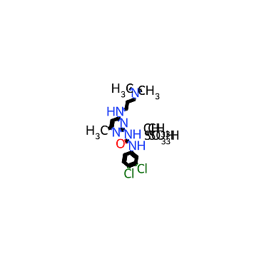 CS(=O)(=O)O.CS(=O)(=O)O.Cc1cc(NCCCN(C)C)nc(NC(=O)Nc2ccc(Cl)c(Cl)c2)n1